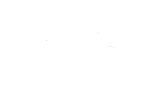 COC(=O)N1c2ccc3c(nc(Cn4ccccc4=O)n3C3CCOCC3)c2CC[C@@H]1C